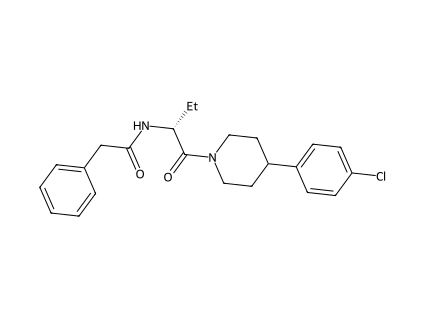 CC[C@@H](NC(=O)Cc1ccccc1)C(=O)N1CCC(c2ccc(Cl)cc2)CC1